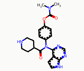 CN(C)C(=O)Oc1ccc(N(C(=O)C2CCNCC2)c2ncnc3[nH]ccc23)cc1